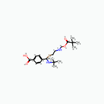 CC(C)(C)NC(SCCNCOC(=O)C(C)(C)C)c1ccc(C(=O)O)cc1